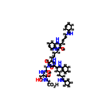 O=C(O)CNC(=O)C(CO)NC(=O)CNC(=O)C(CCCCNC(=O)C(CCCCNC1CCCCC1)NC1CCCCC1)NC(=O)C(CCCCNC1CCCC1)NC1CCCCC1